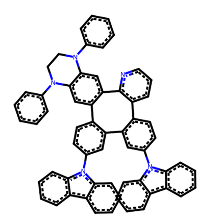 c1ccc(N2CCN(c3ccccc3)c3cc4c(cc32)-c2ccc(-n3c5ccccc5c5ccccc53)cc2-c2cc(-n3c5ccccc5c5ccccc53)ccc2-c2cccnc2-4)cc1